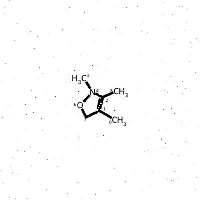 CC1=C(C)N(C)OC1